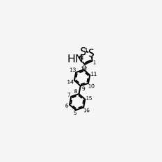 C1=CSSN1.c1ccc(-c2ccccc2)cc1